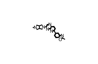 Cc1nc2cc(-c3ccc4ncc(N5CC6CN(C)CC6C5)nc4n3)ccc2o1